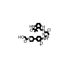 COc1cc(C2CCN(C(=O)CO)CC2)ccc1Nc1ncc(Cl)c(NCc2cccc3c2C(C)(C)C(=O)N3)n1